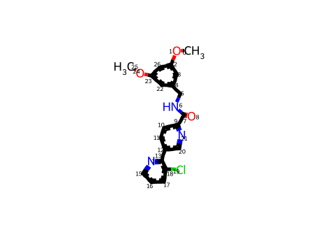 COc1cc(CNC(=O)c2ccc(-c3ncccc3Cl)cn2)cc(OC)c1